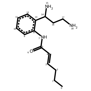 CCC/C=C/C(=O)Nc1ccccc1C(N)CCN